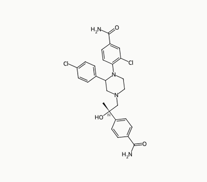 C[C@@](O)(CN1CCN(c2ccc(C(N)=O)cc2Cl)C(c2ccc(Cl)cc2)C1)c1ccc(C(N)=O)cc1